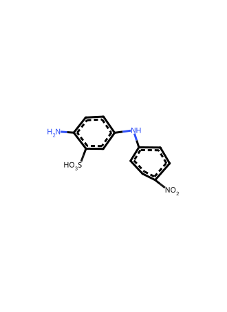 Nc1ccc(Nc2ccc([N+](=O)[O-])cc2)cc1S(=O)(=O)O